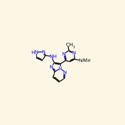 CNc1cc(-c2c(Nc3cc[nH]n3)nc3cccnn23)nc(C)n1